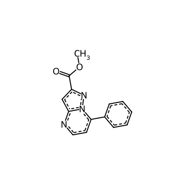 COC(=O)c1cc2nccc(-c3ccccc3)n2n1